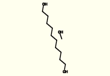 CO.OCCCCCCCCCCO